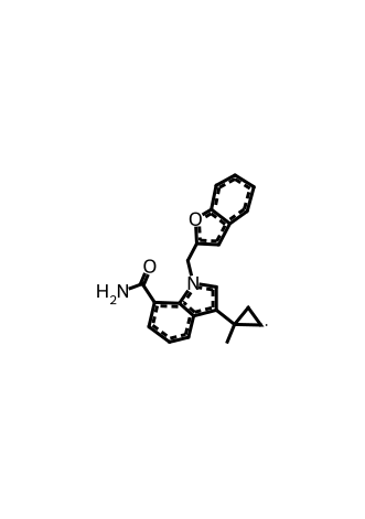 CC1(c2cn(Cc3cc4ccccc4o3)c3c(C(N)=O)cccc23)[CH]C1